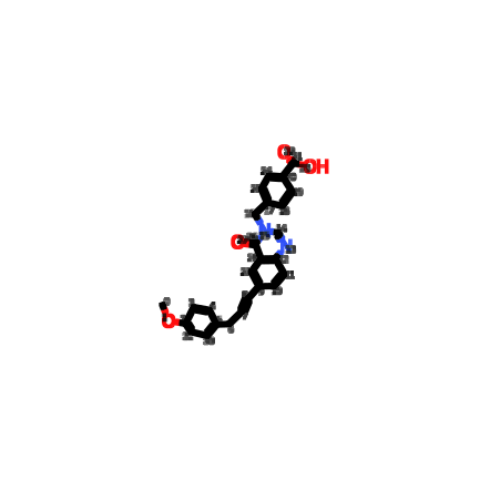 COc1ccc(CC#Cc2ccc3ncn(Cc4ccc(C(=O)O)cc4)c(=O)c3c2)cc1